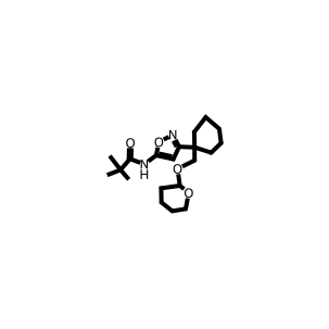 CC(C)(C)C(=O)Nc1cc(C2(COC3CCCCO3)CCCCC2)no1